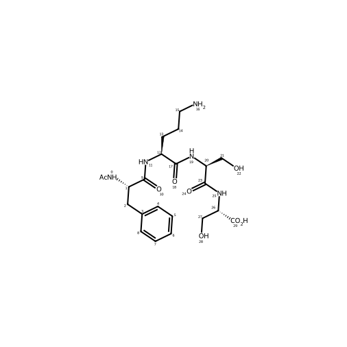 CC(=O)N[C@@H](Cc1ccccc1)C(=O)N[C@@H](CCCN)C(=O)N[C@@H](CO)C(=O)N[C@@H](CO)C(=O)O